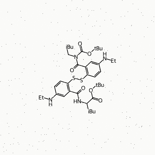 CCNc1ccc(SSc2ccc(NCC)cc2C(=O)N(CC(C)CC)C(=O)OC(C)(C)C)c(C(=O)NC(C(=O)OC(C)(C)C)C(C)CC)c1